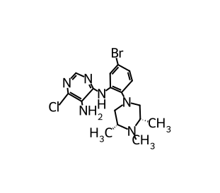 C[C@@H]1CN(c2ccc(Br)cc2Nc2ncnc(Cl)c2N)C[C@H](C)N1C